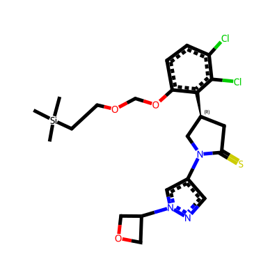 C[Si](C)(C)CCOCOc1ccc(Cl)c(Cl)c1[C@H]1CC(=S)N(c2cnn(C3COC3)c2)C1